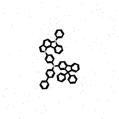 c1ccc(-c2ccc(N(c3ccc(-n4ccc5ccc6c(c7ccccc7n6-c6ccccc6)c54)cc3)c3ccc4c(c3)C(c3ccccc3)(c3ccccc3)c3ccccc3-4)cc2)cc1